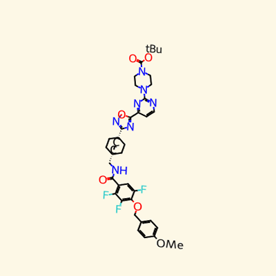 COc1ccc(COc2c(F)cc(C(=O)NC[C@]34CC[C@](c5noc(-c6ccnc(N7CCN(C(=O)OC(C)(C)C)CC7)n6)n5)(CC3)CC4)c(F)c2F)cc1